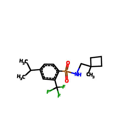 CC(C)c1ccc(S(=O)(=O)NCC2(C)CCC2)c(C(F)(F)F)c1